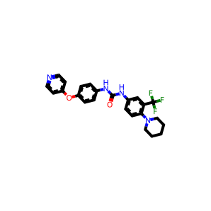 O=C(Nc1ccc(Oc2ccncc2)cc1)Nc1ccc(N2CCCCC2)c(C(F)(F)F)c1